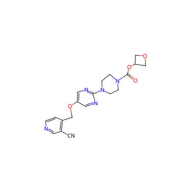 N#Cc1cnccc1COc1cnc(N2CCN(C(=O)OC3COC3)CC2)nc1